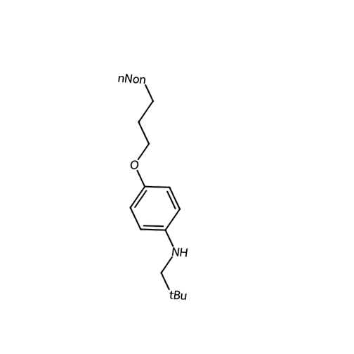 CCCCCCCCCCCCOc1ccc(NCC(C)(C)C)cc1